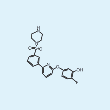 O=S(=O)(c1cccc(-c2cccc(Oc3ccc(F)c(O)c3)n2)c1)N1CCNCC1